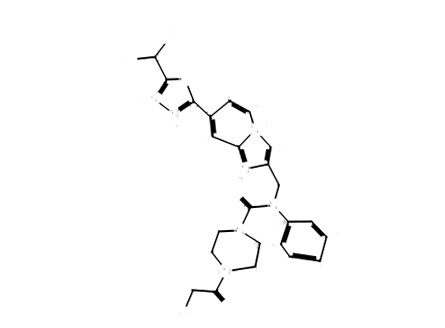 O=C(CO)N1CCN(C(=O)N(Cc2cn3ccc(-c4nnc(C(F)F)o4)cc3n2)c2ccccc2)CC1